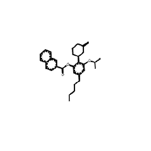 C=C1CCCC(c2c(OC(=O)c3ccc4ccccc4c3)cc(CCCCC)cc2OC(C)C)C1